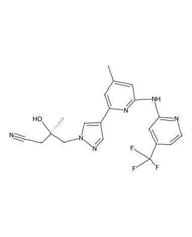 Cc1cc(Nc2cc(C(F)(F)F)ccn2)nc(-c2cnn(C[C@](C)(O)CC#N)c2)c1